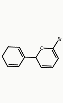 BrC1=CC=CC(C2=CCCC=C2)O1